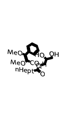 CCCCCCCC(=O)OCC(O)CO.COC(C(=O)O)=C(OC)c1ccccc1